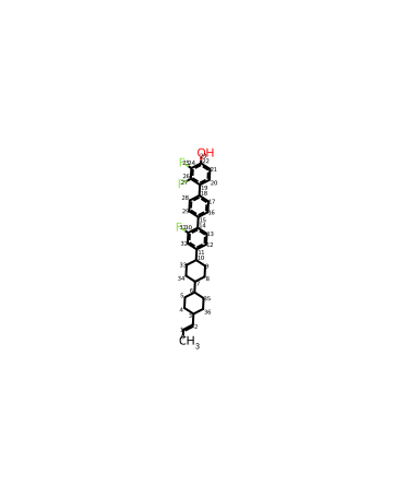 C/C=C/C1CCC(C2CCC(c3ccc(-c4ccc(-c5ccc(O)c(F)c5F)cc4)c(F)c3)CC2)CC1